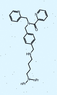 CCCN(CCC)CCCCNCc1ccc(CN(Cc2ccccn2)C(=O)c2ccccn2)cc1